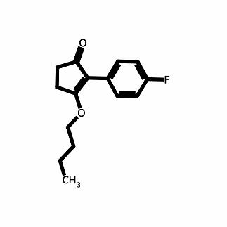 CCCCOC1=C(c2ccc(F)cc2)C(=O)CC1